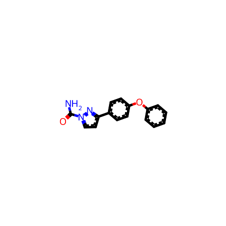 NC(=O)n1ccc(-c2ccc(Oc3ccccc3)cc2)n1